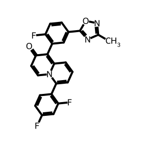 Cc1noc(-c2ccc(F)c(-c3c(=O)ccn4c(-c5ccc(F)cc5F)cccc34)c2)n1